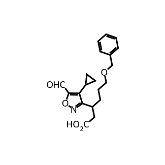 O=Cc1onc(C(CCCOCc2ccccc2)CC(=O)O)c1C1CC1